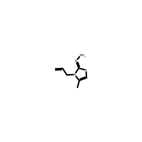 C=CCn1c(C)csc1=NN